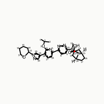 CC(C)Oc1nc(-c2ccc(N(C)[C@H]3C[C@H]4CC[C@@H](C3)N4C(=O)O)nn2)ccc1-c1cnn(C2CCCCO2)c1